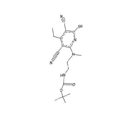 CCc1c(C#N)c(S)nc(N(C)CCNC(=O)OC(C)(C)C)c1C#N